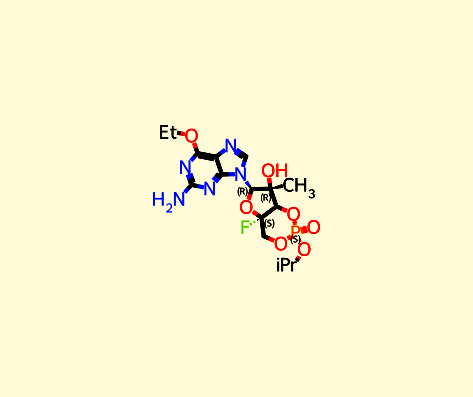 CCOc1nc(N)nc2c1ncn2[C@@H]1O[C@]2(F)CO[P@@](=O)(OC(C)C)OC2[C@@]1(C)O